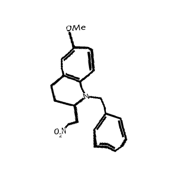 COc1ccc2c(c1)CCC(C[N+](=O)[O-])N2Cc1ccccc1